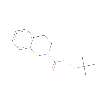 CC(C)(C)OOC(=O)N1CCc2ccccc2C1